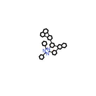 c1ccc(-c2nc(-c3ccccc3)nc(-c3cccc(-c4cc5ccccc5cc4-c4cccc(-c5ccc6c(c5)-c5cccc7cccc-6c57)c4)c3)n2)cc1